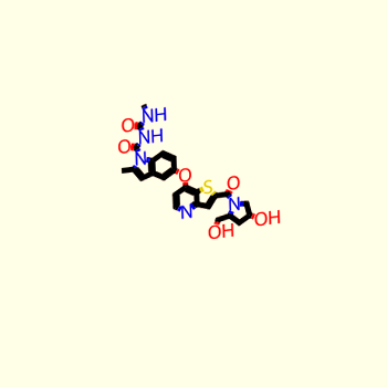 CNC(=O)NC(=O)n1c(C)cc2cc(Oc3ccnc4cc(C(=O)N5CC(O)CC5CO)sc34)ccc21